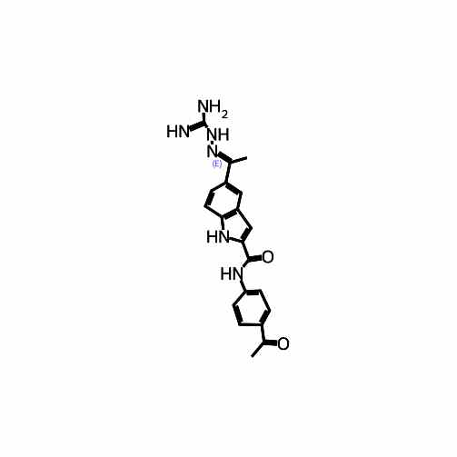 CC(=O)c1ccc(NC(=O)c2cc3cc(/C(C)=N/NC(=N)N)ccc3[nH]2)cc1